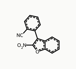 N#Cc1ccccc1-c1c([N+](=O)[O-])oc2ccccc12